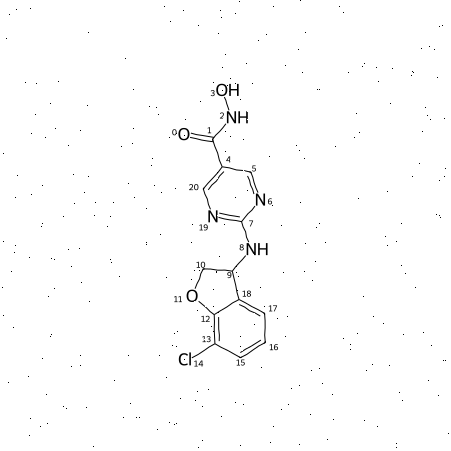 O=C(NO)c1cnc(NC2COc3c(Cl)cccc32)nc1